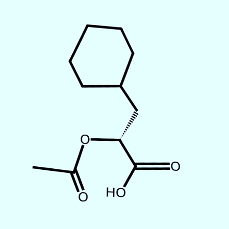 CC(=O)O[C@H](CC1CCCCC1)C(=O)O